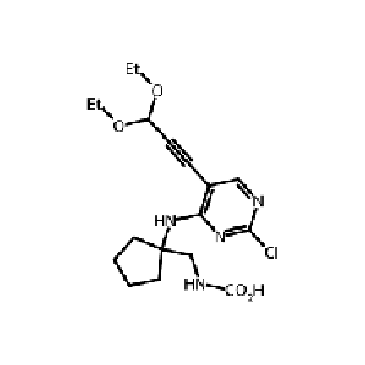 CCOC(C#Cc1cnc(Cl)nc1NC1(CNC(=O)O)CCCC1)OCC